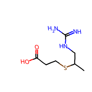 CC(CNC(=N)N)SCCC(=O)O